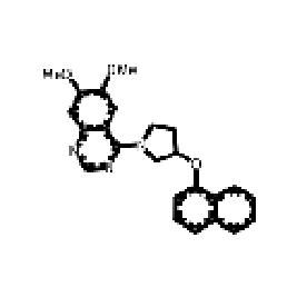 COc1cc2ncnc(N3CCC(Oc4cccc5ccccc45)C3)c2cc1OC